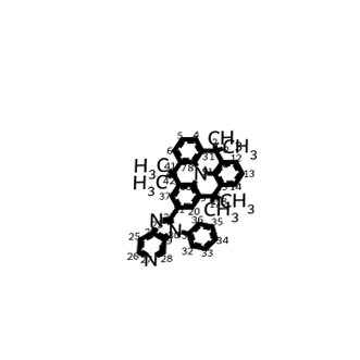 CC1(C)c2cccc3c2N2c4c1cccc4C(C)(C)c1cc(-c4nc5ccncc5n4-c4ccccc4)cc(c12)C3(C)C